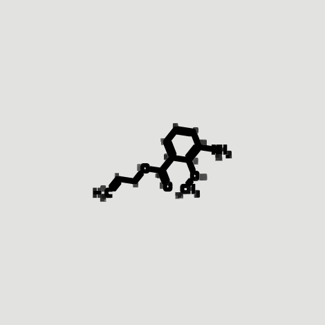 C=CCOC(=O)c1cccc(N)c1OC